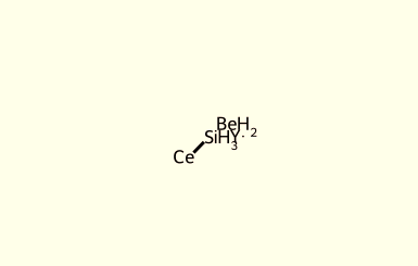 [BeH2].[SiH3][Ce].[Y]